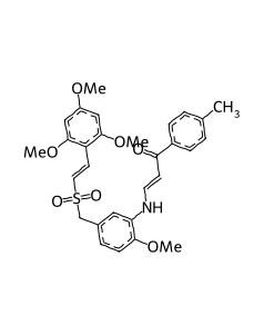 COc1cc(OC)c(/C=C/S(=O)(=O)Cc2ccc(OC)c(N/C=C/C(=O)c3ccc(C)cc3)c2)c(OC)c1